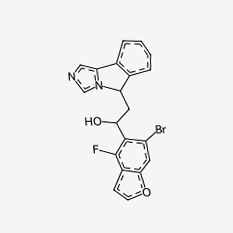 OC(CC1c2ccccc2-c2cncn21)c1c(Br)cc2occc2c1F